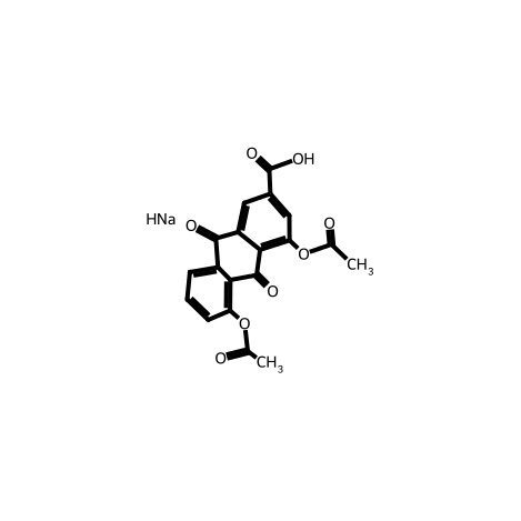 CC(=O)Oc1cccc2c1C(=O)c1c(OC(C)=O)cc(C(=O)O)cc1C2=O.[NaH]